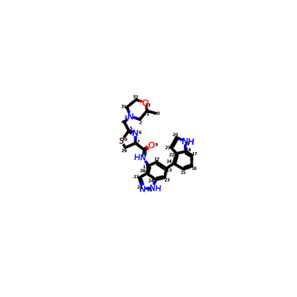 CC1CN(CC2=NC(C(=O)Nc3cc(-c4cccc5[nH]ccc45)cc4[nH]ncc34)CS2)CCO1